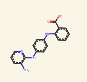 Nc1cccnc1Nc1ccc(Nc2ccccc2C(=O)O)cc1